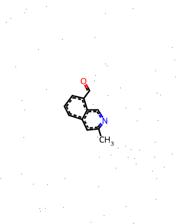 Cc1cc2cccc(C=O)c2cn1